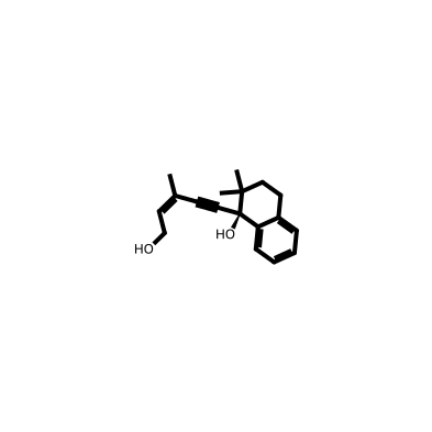 C/C(C#C[C@@]1(O)c2ccccc2CCC1(C)C)=C/CO